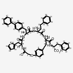 O=C1COc2ccc(cc2)C[C@@H](C(=O)N[C@H](Cc2ccccc2)C(=O)O)NC(=O)[C@@H](CCc2ccccc2)NC(=O)[C@H](Cc2ccc(-c3ccccc3)cc2)NC(=O)[C@@H](Cc2cccs2)N1